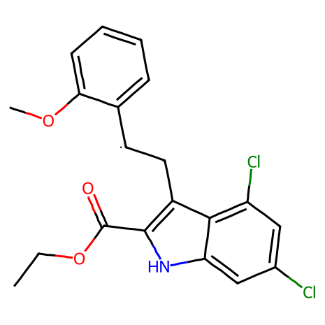 CCOC(=O)c1[nH]c2cc(Cl)cc(Cl)c2c1C[CH]c1ccccc1OC